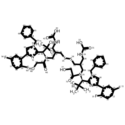 CC(C)(C)[C@H](c1nc(-c2cc(F)ccc2F)cn1Cc1ccccc1)N(CC(CNC(=O)O)CSSCC(CNC(=O)O)CN(C(=O)CO)[C@@H](c1nc(-c2cc(F)ccc2F)cn1Cc1ccccc1)C(C)(C)C)C(=O)CO